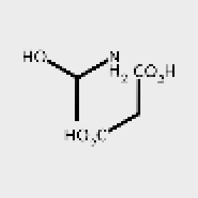 CC(N)O.O=C(O)CC(=O)O